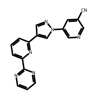 N#Cc1cncc(-n2cc(-c3cccc(-c4ncccn4)n3)cn2)c1